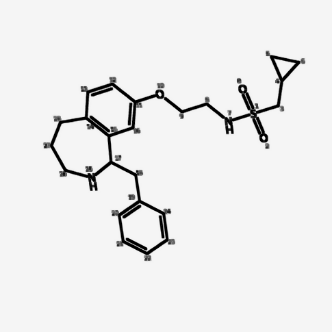 O=S(=O)(CC1CC1)NCCOc1ccc2c(c1)C(Cc1ccccc1)NCCC2